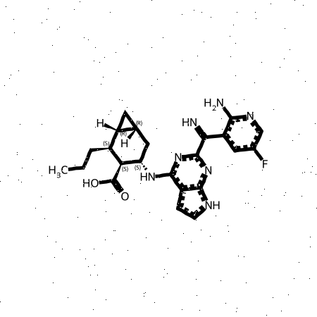 CCC[C@H]1[C@@H]2C[C@@H]2C[C@H](Nc2nc(C(=N)c3cc(F)cnc3N)nc3[nH]ccc23)[C@H]1C(=O)O